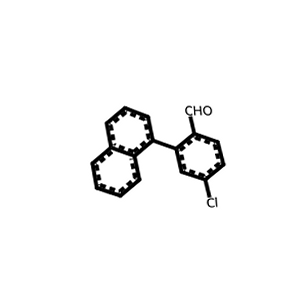 O=Cc1ccc(Cl)cc1-c1cccc2ccccc12